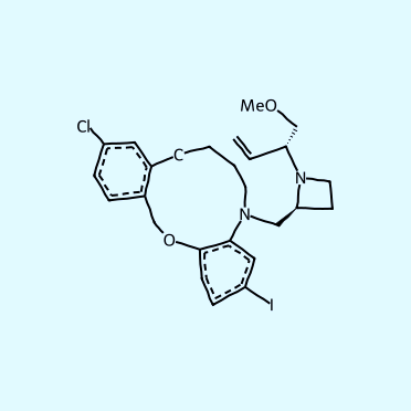 C=C[C@H](COC)N1CC[C@H]1CN1CCCCc2cc(Cl)ccc2COc2ccc(I)cc21